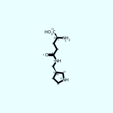 N[C@@H](CCC(=O)NC[C@@H]1CCNC1)C(=O)O